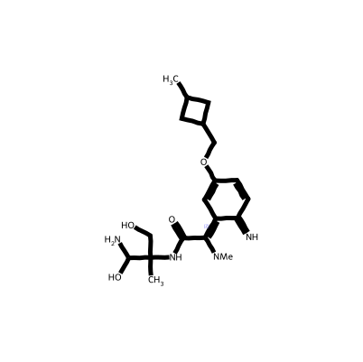 CN/C(C(=O)NC(C)(CO)C(N)O)=C1/C=C(OCC2CC(C)C2)C=CC1=N